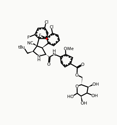 COc1cc(C(=O)OC[C@H]2OC(O)[C@H](O)C(O)[C@@H]2O)ccc1NC(=O)[C@@H]1N[C@@H](CC(C)(C)C)[C@](C#N)(c2ccc(Cl)cc2F)[C@H]1c1cccc(Cl)c1F